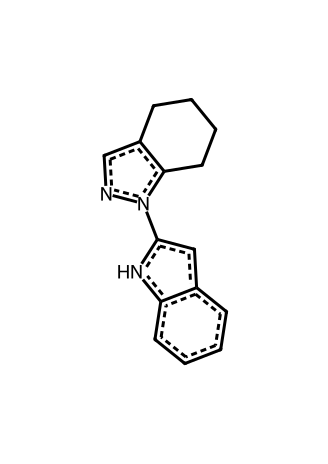 c1ccc2[nH]c(-n3ncc4c3CCCC4)cc2c1